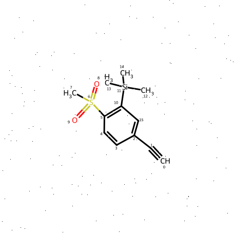 C#Cc1ccc(S(C)(=O)=O)c([Si](C)(C)C)c1